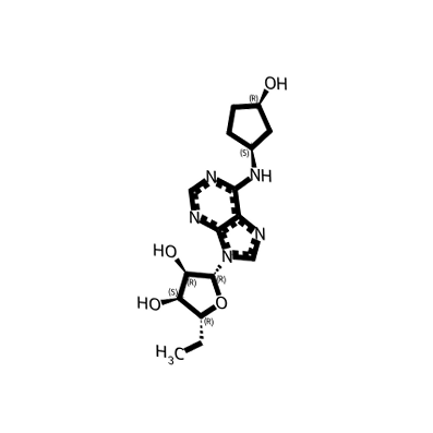 CC[C@H]1O[C@@H](n2cnc3c(N[C@H]4CC[C@@H](O)C4)ncnc32)[C@H](O)[C@@H]1O